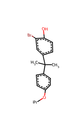 CC(C)Oc1ccc(C(C)(C)c2ccc(O)c(Br)c2)cc1